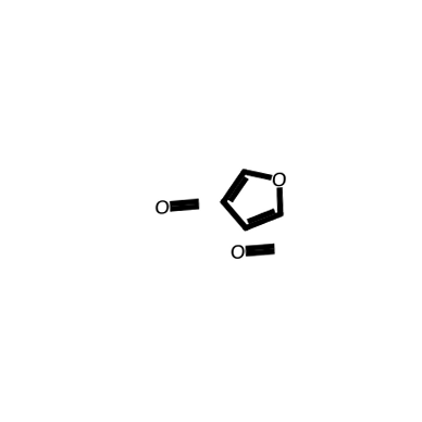 C=O.C=O.c1ccoc1